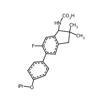 CC(C)Oc1ccc(-c2cc3c(cc2F)C(NC(=O)O)C(C)(C)C3)cc1